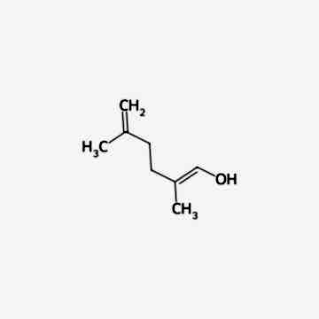 C=C(C)CCC(C)=CO